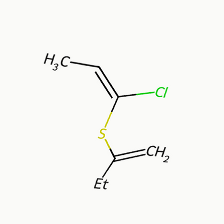 C=C(CC)S/C(Cl)=C\C